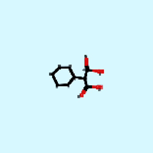 O=C(O)C(C(=O)O)C1CCCCC1